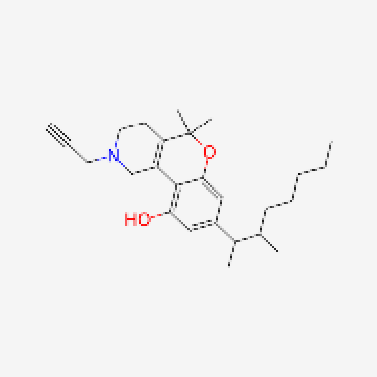 C#CCN1CCC2=C(C1)c1c(O)cc(C(C)C(C)CCCCC)cc1OC2(C)C